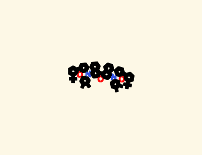 Cc1ccc(N(c2cc3oc4cc(N(c5ccc(C)c(C)c5)c5cccc6c5oc5c(C(C)(C)C)cccc56)c5ccccc5c4c3c3ccccc23)c2cccc3c2oc2c(C(C)(C)C)cccc23)cc1C